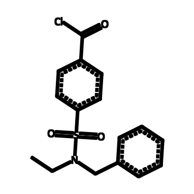 CCN(Cc1ccccc1)S(=O)(=O)c1ccc(C(=O)Cl)cc1